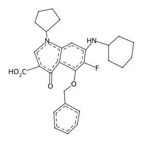 O=C(O)c1cn(C2CCCC2)c2cc(NC3CCCCC3)c(F)c(OCc3ccccc3)c2c1=O